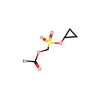 CCC(=O)OCS(=O)(=O)OC1CC1